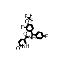 O=C(NC(c1ccc(F)cc1)c1ccc(OC(F)(F)F)c(F)c1)c1ccc(=O)[nH]c1